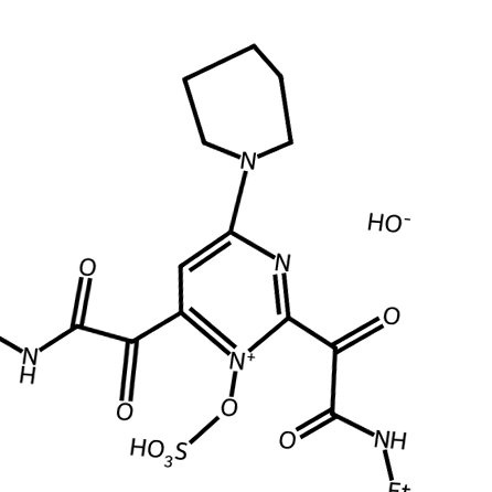 CCNC(=O)C(=O)c1cc(N2CCCCC2)nc(C(=O)C(=O)NCC)[n+]1OS(=O)(=O)O.[OH-]